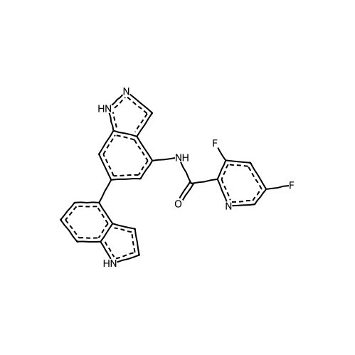 O=C(Nc1cc(-c2cccc3[nH]ccc23)cc2[nH]ncc12)c1ncc(F)cc1F